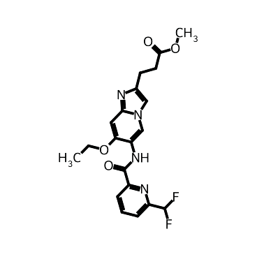 CCOc1cc2nc(CCC(=O)OC)cn2cc1NC(=O)c1cccc(C(F)F)n1